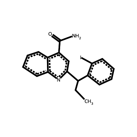 CCC(c1cc(C(N)=O)c2ccccc2n1)c1ccccc1I